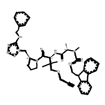 C#CCOCC(C)(C)[C@H](NC(=O)[C@H](C)N(C)C(=O)OCC1c2ccccc2-c2ccccc21)C(=O)N1CCC[C@H]1Cn1nnnc1NCc1ccccc1